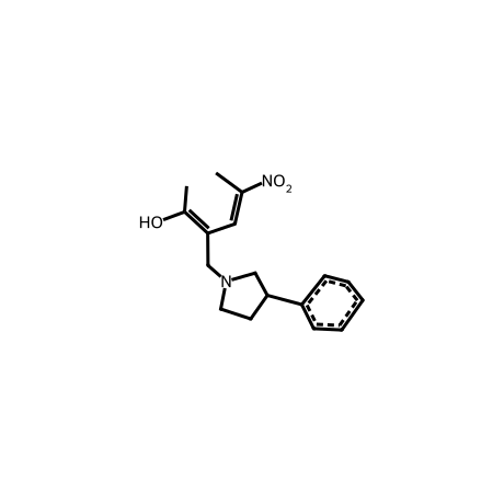 C/C(O)=C(\C=C(/C)[N+](=O)[O-])CN1CCC(c2ccccc2)C1